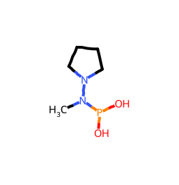 CN(N1CCCC1)P(O)O